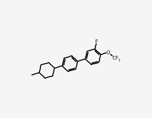 CC1CCC(c2ccc(-c3ccc(OC(F)(F)F)c(F)c3)cc2)CC1